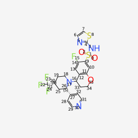 O=S(=O)(Nc1nccs1)c1cc2c(cc1F)C(N1CC[C@@H](C(F)(F)F)C[C@H]1c1ccncc1)CCO2